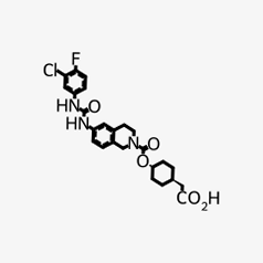 O=C(O)C[C@H]1CC[C@H](OC(=O)N2CCc3cc(NC(=O)Nc4ccc(F)c(Cl)c4)ccc3C2)CC1